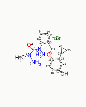 CN(N)C(=O)N(N)c1cccc(Br)c1COc1ccc(O)cc1C1CC1